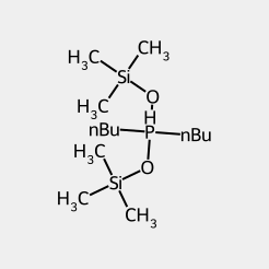 CCCC[PH](CCCC)(O[Si](C)(C)C)O[Si](C)(C)C